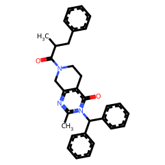 Cc1nc2c(c(=O)n1C(c1ccccc1)c1ccccc1)CCN(C(=O)C(C)Cc1ccccc1)C2